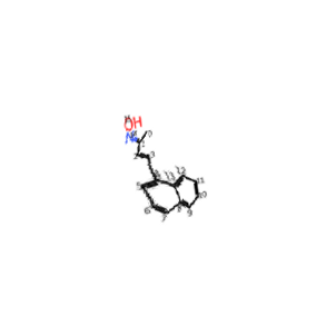 CC(/C=C/c1cccc2ccccc12)=N\O